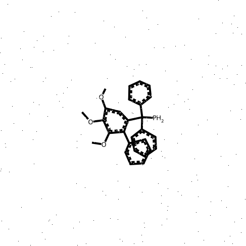 COc1cc(C(P)(c2ccccc2)c2ccccc2)c(-c2ccccc2)c(OC)c1OC